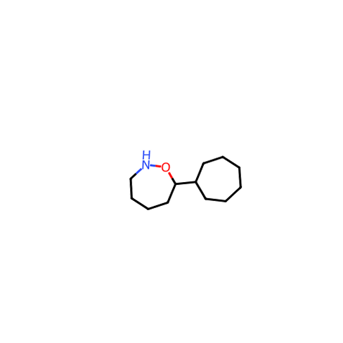 C1CCCC(C2CCCCNO2)CC1